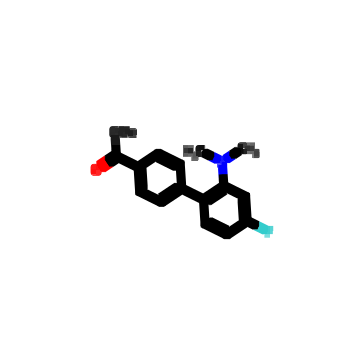 COC(=O)c1ccc(-c2ccc(F)cc2N(C)C)cc1